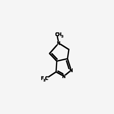 CN1C=C2C(=NN=C2C(F)(F)F)C1